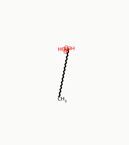 CCCCCCCCCCCCCCCCCCCCCCCCCCCC(O)S(=O)(=O)O